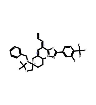 C=C/C=C(\C=C1\C[C@@]2(CCC1C)COC(C)(C)N2Cc1ccccc1)c1nnc(-c2ccc(C(F)(F)F)c(F)c2)o1